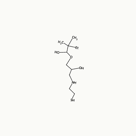 CCC(C)(C)C(O)OCC(O)CNCCS